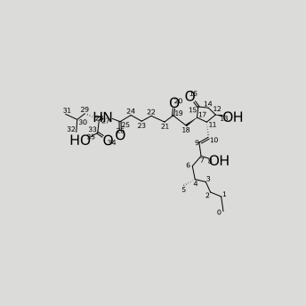 CCCC[C@H](C)CC(O)/C=C/[C@H]1[C@H](O)CC(=O)[C@@H]1CC(=O)CCCCC(=O)N[C@@H](CC(C)C)C(=O)O